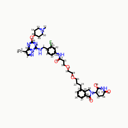 CC(C)c1cnn2c(NCc3ccc(NC(=O)CCOCCOCCCc4cccc5c4CN(C4CCC(=O)NC4=O)C5=O)cc3F)nc(OC3CCN(C)CC3)nc12